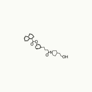 O=C(Oc1cccc(CCCC(=O)N2CCC(CCO)CC2)c1)c1cccc2ccccc12